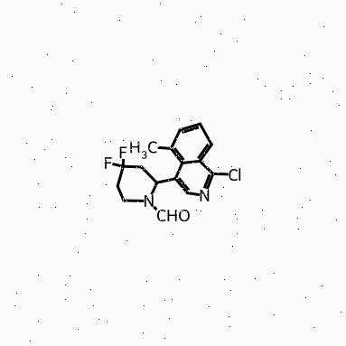 Cc1cccc2c(Cl)ncc(C3CC(F)(F)CCN3C=O)c12